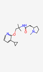 CN1CCC[C@@H]1CC(=O)NC(C)(C)COc1ncccc1C1CC1